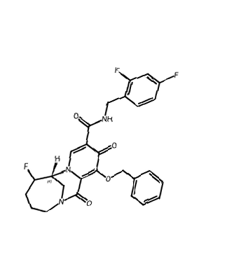 O=C(NCc1ccc(F)cc1F)c1cn2c(c(OCc3ccccc3)c1=O)C(=O)N1CCCC(F)[C@H]2C1